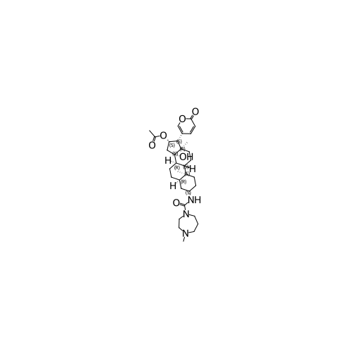 CC(=O)O[C@H]1C[C@]2(O)[C@@H]3CC[C@@H]4C[C@@H](NC(=O)N5CCCN(C)CC5)CC[C@]4(C)[C@H]3CC[C@]2(C)[C@H]1c1ccc(=O)oc1